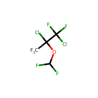 FC(F)OC(Cl)(C(F)(F)F)C(F)(F)Cl